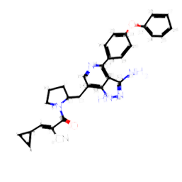 N#CC(=CC1CC1)C(=O)N1CCCC1Cc1cnc(-c2ccc(Oc3ccccc3)cc2)c2c(N)n[nH]c12